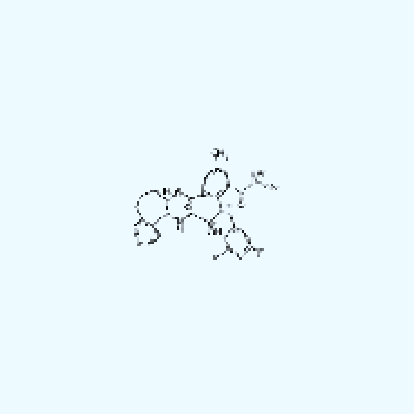 CCCN(CCC)C(=O)c1cc(C)cc(C(N)=O)c1[C@H](Cc1cc(F)cc(F)c1)[C@@H](O)CNC1CCCCc2ccccc21